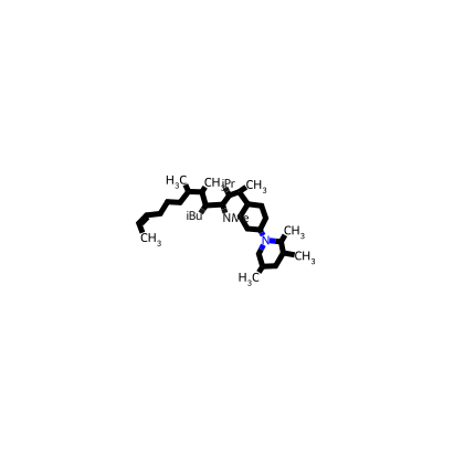 C/C=C\CCCC(C)C(C)C(C(C)CC)C(NC)C(C(C)C)C(C)C1CCC(N2CC(C)CC(C)C2C)CC1